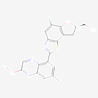 CCOc1cnc2c(-c3nc4cc(F)c5c(c4s3)C[C@H](CO)O5)cc(C)cc2n1